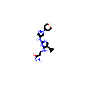 NC(=O)CCNc1nc(Nc2cnn(C3CCOCC3)c2)ncc1C1CC1